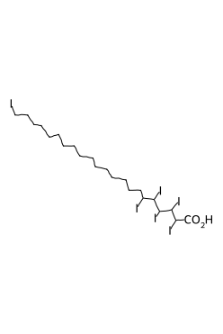 O=C(O)C(I)C(I)C(I)C(I)C(I)CCCCCCCCCCCCCCCCI